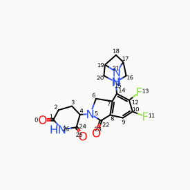 O=C1CCC(N2Cc3c(cc(F)c(F)c3N3CC4CC(C3)N4)C2=O)C(=O)N1